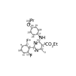 CCOC(=O)c1c(C)nc(-c2c(F)cccc2F)nc1Nc1ccc(OC(C)C)cc1